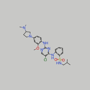 COc1cc(N2CCC(N(C)C)C2)ccc1Nc1ncc(Cl)c(Nc2ccccc2S(=O)(=O)NCC(C)C)n1